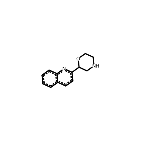 c1ccc2nc(C3CNCCO3)ccc2c1